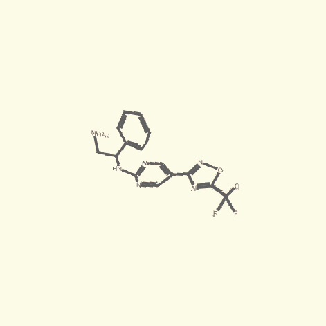 CC(=O)NCC(Nc1ncc(-c2noc(C(F)(F)Cl)n2)cn1)c1ccccc1